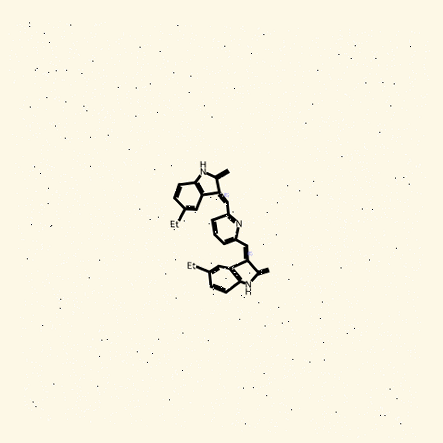 C=c1[nH]c2ccc(CC)cc2/c1=C\c1cccc(/C=c2/c(=C)[nH]c3ccc(CC)cc23)n1